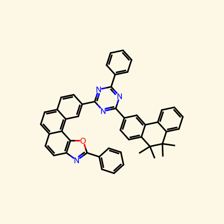 CC1(C)c2ccccc2-c2cc(-c3nc(-c4ccccc4)nc(-c4ccc5ccc6ccc7nc(-c8ccccc8)oc7c6c5c4)n3)ccc2C1(C)C